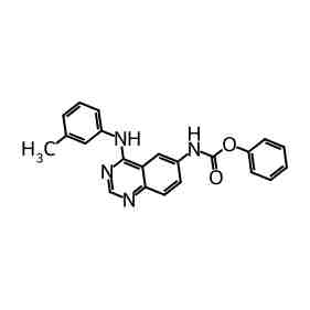 Cc1cccc(Nc2ncnc3ccc(NC(=O)Oc4ccccc4)cc23)c1